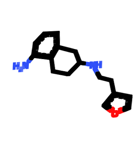 Nc1cccc2c1CCC(NCCc1ccoc1)C2